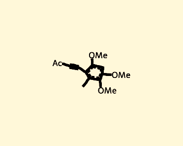 COc1cc(OC)c(OC)c(C)c1C#CC(C)=O